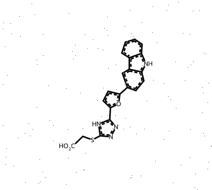 O=C(O)CSc1nnc(-c2ccc(-c3ccc4[nH]c5ccccc5c4c3)o2)[nH]1